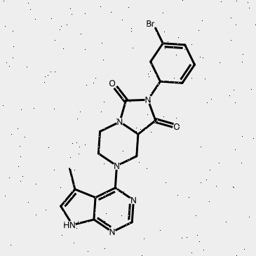 Cc1c[nH]c2ncnc(N3CCN4C(=O)N(C5C=CC=C(Br)C5)C(=O)C4C3)c12